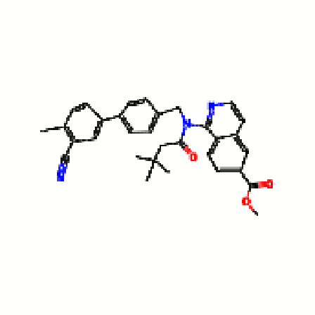 COC(=O)c1ccc2c(N(Cc3ccc(-c4ccc(C)c(C#N)c4)cc3)C(=O)CC(C)(C)C)nccc2c1